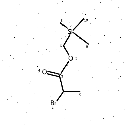 CC(Br)C(=O)OC[Si](C)(C)C